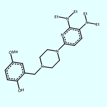 CCN(CC)c1ccc(N2CCN(Cc3cc(OC)ccc3O)CC2)nc1N(CC)CC